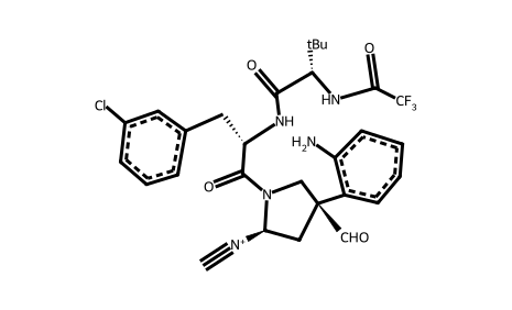 C#[N+][C@@H]1C[C@@](C=O)(c2ccccc2N)CN1C(=O)[C@H](Cc1cccc(Cl)c1)NC(=O)[C@@H](NC(=O)C(F)(F)F)C(C)(C)C